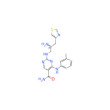 Cc1cccc(Nc2nc(NC[C@@H](N)Cc3cscn3)ncc2C(N)=O)c1